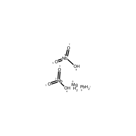 [MgH2].[O]=[Nb](=[O])[OH].[O]=[Nb](=[O])[OH].[PbH2]